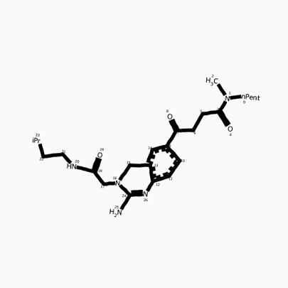 CCCCCN(C)C(=O)CCC(=O)c1ccc2c(c1)CN(CC(=O)NCCC(C)C)C(N)=N2